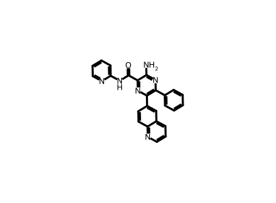 Nc1nc(-c2ccccc2)c(-c2ccc3ncccc3c2)nc1C(=O)Nc1ccccn1